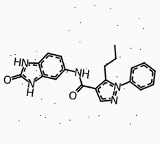 CCCc1c(C(=O)Nc2ccc3[nH]c(=O)[nH]c3c2)cnn1-c1ccccc1